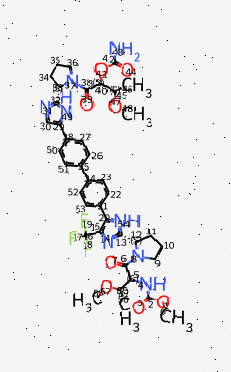 COC(=O)N[C@H](C(=O)N1CCC[C@H]1c1nc(C(F)(F)F)c(-c2ccc(-c3ccc(-c4cnc([C@@H]5CCCN5C(=O)[C@@H](OC(N)=O)[C@@H](C)OC)[nH]4)cc3)cc2)[nH]1)[C@@H](C)OC